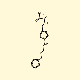 CC(NCc1ccc(NCCCCc2ccccc2)cc1)C(N)=O